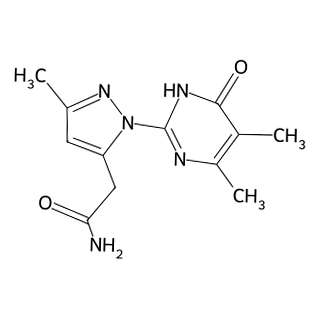 Cc1cc(CC(N)=O)n(-c2nc(C)c(C)c(=O)[nH]2)n1